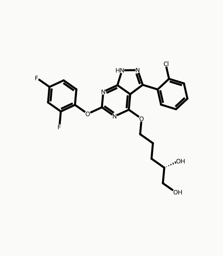 OC[C@@H](O)CCCOc1nc(Oc2ccc(F)cc2F)nc2[nH]nc(-c3ccccc3Cl)c12